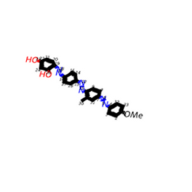 COc1ccc(N=Nc2ccc(N=Nc3ccc(N=Nc4ccc(O)cc4O)cc3)c(C)c2)cc1